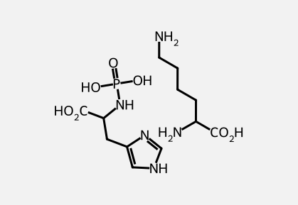 NCCCCC(N)C(=O)O.O=C(O)C(Cc1c[nH]cn1)NP(=O)(O)O